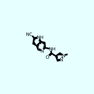 Cn1cc(C(=O)Nc2cc3[nH]c(C#N)cc3cn2)cn1